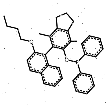 CCCCOc1ccc2ccccc2c1-c1c(C)c2c(c(C)c1OP(c1ccccc1)c1ccccc1)CCC2